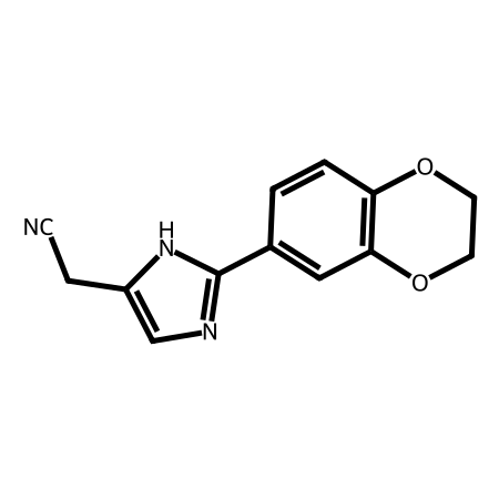 N#CCc1cnc(-c2ccc3c(c2)OCCO3)[nH]1